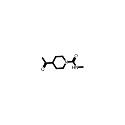 CNC(=O)N1CCC(C(C)=O)CC1